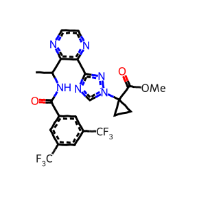 COC(=O)C1(n2cnc(-c3nccnc3C(C)NC(=O)c3cc(C(F)(F)F)cc(C(F)(F)F)c3)n2)CC1